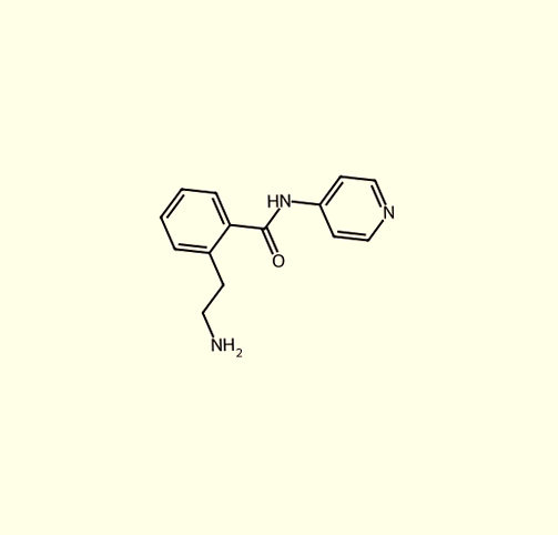 NCCc1ccccc1C(=O)Nc1ccncc1